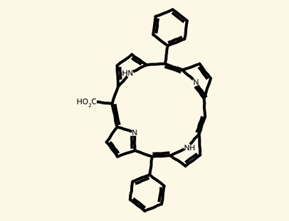 O=C(O)c1c2nc(c(-c3ccccc3)c3ccc(cc4nc(c(-c5ccccc5)c5ccc1[nH]5)C=C4)[nH]3)C=C2